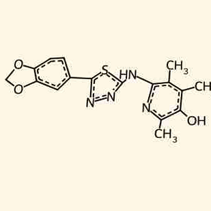 Cc1nc(Nc2nnc(-c3ccc4c(c3)OCO4)s2)c(C)c(C)c1O